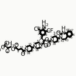 CN(C)C(=O)COC(=O)CCC(=O)N1CCC(N2CCN(C(=O)[C@@H](Cc3cc(Cl)c(N)c(C(F)(F)F)c3)OC(=O)N3CCC(N4CCc5ccccc5NC4=O)CC3)CC2)CC1